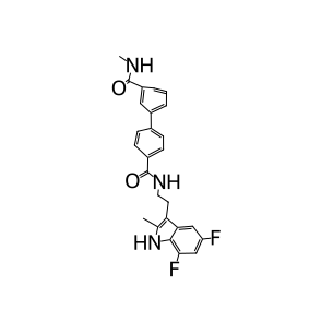 CNC(=O)c1cccc(-c2ccc(C(=O)NCCc3c(C)[nH]c4c(F)cc(F)cc34)cc2)c1